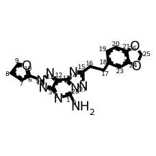 Nc1nc2nn(-c3ccco3)nc2c2nc(CCc3ccc4c(c3)OCO4)nn12